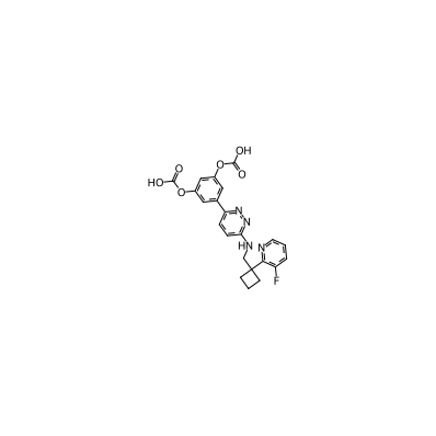 O=C(O)Oc1cc(OC(=O)O)cc(-c2ccc(NCC3(c4ncccc4F)CCC3)nn2)c1